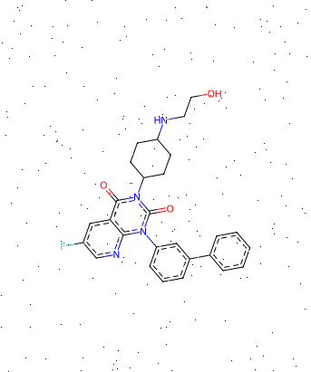 O=c1c2cc(F)cnc2n(-c2cccc(-c3ccccc3)c2)c(=O)n1C1CCC(NCCO)CC1